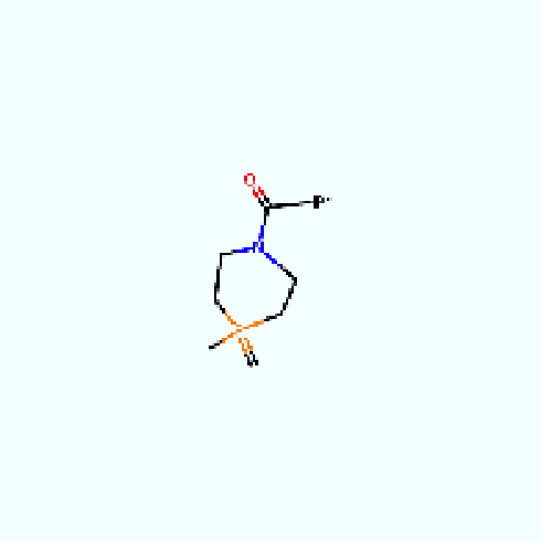 C=P1(C)CCN(C(=O)C(C)C)CC1